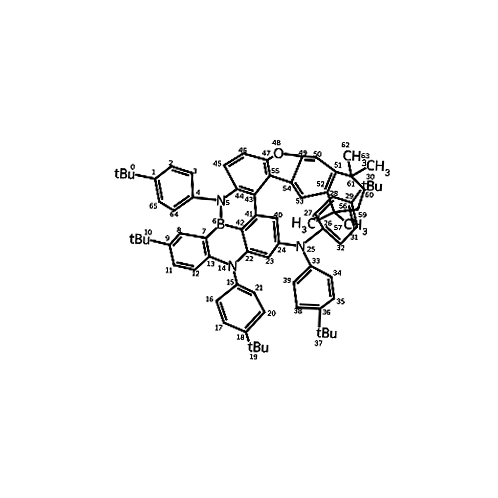 CC(C)(C)c1ccc(N2B3c4cc(C(C)(C)C)ccc4N(c4ccc(C(C)(C)C)cc4)c4cc(N(c5ccc(C(C)(C)C)cc5)c5ccc(C(C)(C)C)cc5)cc(c43)-c3c2ccc2oc4cc5c(cc4c32)C(C)(C)CCC5(C)C)cc1